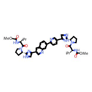 COC(=O)N[C@H](C(=O)N1CCC[C@H]1c1nc(-c2cnc3cc(-c4ccc(-c5cnc([C@@H]6CCCN6C(=O)[C@@H](NC(=O)OC)C(C)C)[nH]5)cn4)ccc3c2)c[nH]1)C(C)C